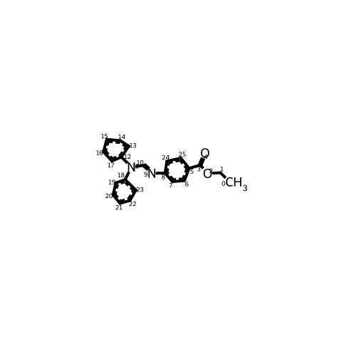 CCOC(=O)c1ccc(N=CN(c2ccccc2)c2ccccc2)cc1